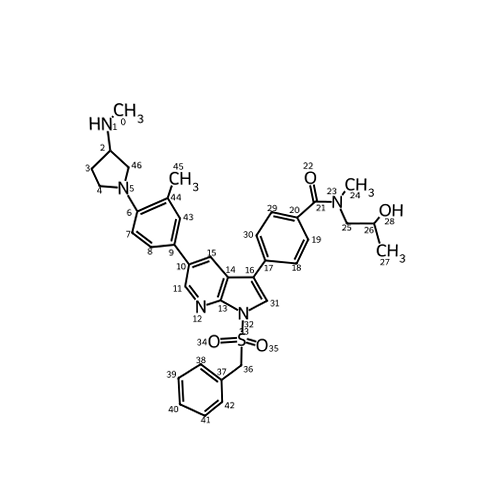 CNC1CCN(c2ccc(-c3cnc4c(c3)c(-c3ccc(C(=O)N(C)CC(C)O)cc3)cn4S(=O)(=O)Cc3ccccc3)cc2C)C1